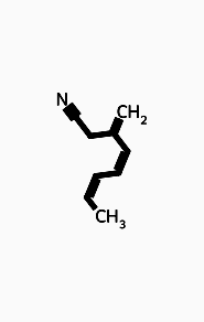 C=C(/C=C\C=C/C)CC#N